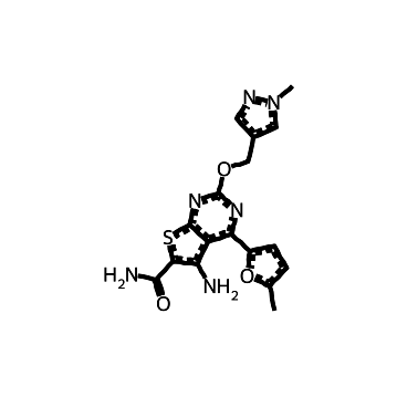 Cc1ccc(-c2nc(OCc3cnn(C)c3)nc3sc(C(N)=O)c(N)c23)o1